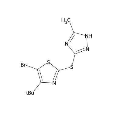 Cc1nc(Sc2nc(C(C)(C)C)c(Br)s2)n[nH]1